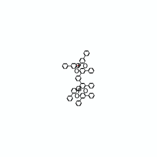 O=P12c3ccc(-c4ccccc4)cc3Oc3c(-c4ccccc4)cc(-c4cccc(-c5cc(-c6ccccc6)c6c(c5)P5(=O)c7cccc(-c8ccccc8)c7Oc7c(-c8ccccc8)cc(-c8ccccc8)c(c75)O6)c4)c(c31)Oc1cc(-c3ccccc3)ccc12